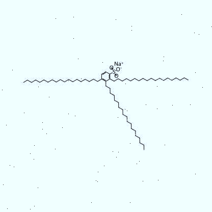 CCCCCCCCCCCCCCCCCCCc1ccc(S(=O)(=O)[O-])c(CCCCCCCCCCCCCCCCCCC)c1CCCCCCCCCCCCCCCCCCC.[Na+]